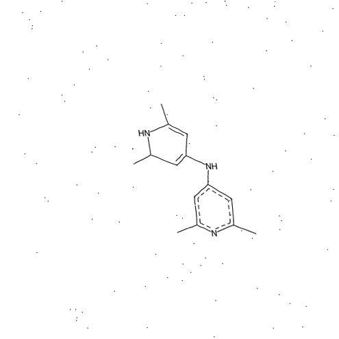 CC1=CC(Nc2cc(C)nc(C)c2)=CC(C)N1